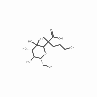 CC(CCCO)(C(=O)O)C1O[C@H](CO)[C@@H](O)[C@H](O)C1(O)O